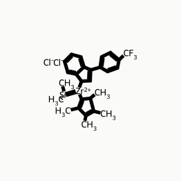 CC1=C(C)C(C)[C]([Zr+2]([CH]2C=C(c3ccc(C(F)(F)F)cc3)c3ccccc32)=[Si](C)C)=C1C.[Cl-].[Cl-]